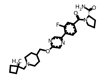 CC1(CN2CCC(COc3cnc(-c4ccc(C(=O)N5CCC[C@H]5C(N)=O)cc4F)cn3)CC2)CCC1